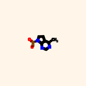 Cc1ncnc2c1ccn2[SH](=O)=O